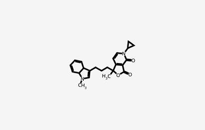 CN1C=C(CCCC2(C)OC(=O)c3c2ccn(C2CC2)c3=O)C2C=CC=CC21